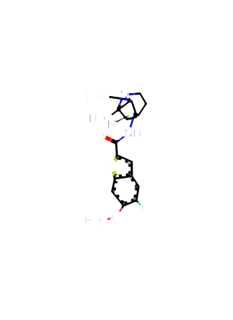 COc1cc2sc(C(=O)N[C@H]3C4CCN(CC4)C3(C)C)cc2cc1F